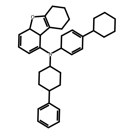 C1=CC2OC3=C(CCCC3)C2C(N(C2C=CC(C3CCCCC3)=CC2)C2CCC(c3ccccc3)CC2)=C1